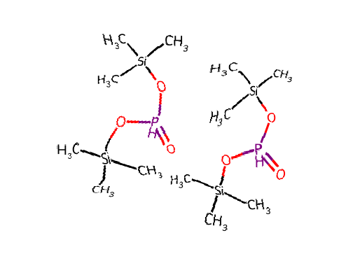 C[Si](C)(C)O[PH](=O)O[Si](C)(C)C.C[Si](C)(C)O[PH](=O)O[Si](C)(C)C